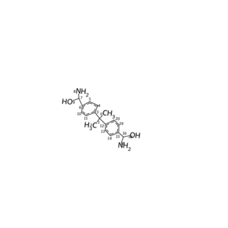 CC(C)(c1ccc(C(N)O)cc1)c1ccc(C(N)O)cc1